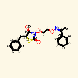 C/C(=N/OCCON1C(=O)SC(Cc2ccccc2)C1=O)c1ccccc1